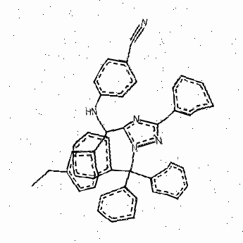 CCc1cccc(C(Nc2ccc(C#N)cc2)c2nc(-c3ccccc3)nn2C(c2ccccc2)(c2ccccc2)c2ccccc2)c1